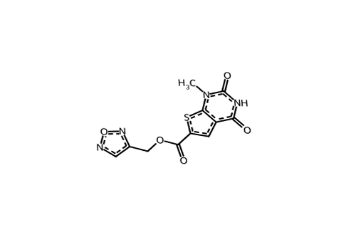 Cn1c(=O)[nH]c(=O)c2cc(C(=O)OCc3cnon3)sc21